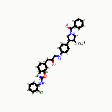 O=C(CNc1ccc(C2CN(C(=O)c3ccccc3)CC2C(=O)O)cc1)Cc1ccc2nc(Nc3ccccc3Cl)oc2c1